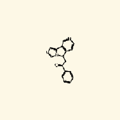 O=C(CC1c2ccncc2-c2cncn21)c1ccccc1